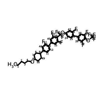 CCCCCOC1CCC(c2ccc(-c3cc(F)c(C(F)(F)Oc4ccc(-c5cc(F)c(OC(F)(F)F)c(F)c5)c(F)c4)c(F)c3)c(F)c2)CC1